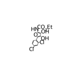 CCOC(=O)Nc1oc(-c2ccc(Cl)cc2Cl)c(O)c1O